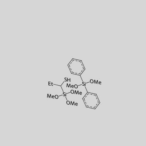 CCC(S)[Si](OC)(OC)OC.CO[Si](OC)(c1ccccc1)c1ccccc1